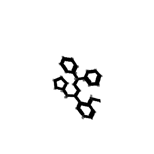 COc1ccncc1C(CCN(c1ccccc1)c1ccccc1)OC1CCCC1